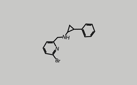 Brc1cccc(CNC2CC2c2ccccc2)n1